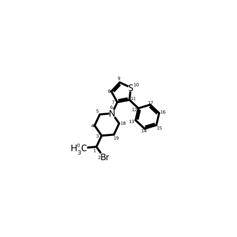 CC(Br)C1CCN(c2ccsc2-c2ccccc2)CC1